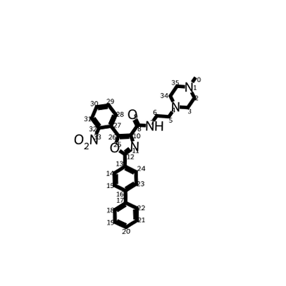 CN1CCN(CCNC(=O)c2nc(-c3ccc(-c4ccccc4)cc3)oc2-c2ccccc2[N+](=O)[O-])CC1